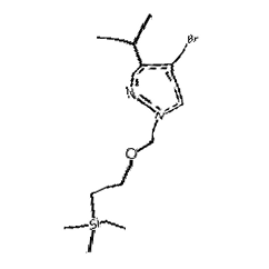 CC(C)c1nn(COCC[Si](C)(C)C)cc1Br